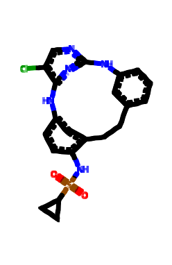 O=S(=O)(Nc1ccc2cc1CCc1cccc(c1)Nc1ncc(Cl)c(n1)N2)C1CC1